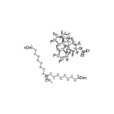 CCCCCCCCCCCCCCCCCCN(C)CCCCCCCCCCCCCCCCCC.C[CH2][Al]([CH2]C)[O]C1(F)C(F)=C(F)C(B(c2c(F)c(F)c(F)c(F)c2F)c2c(F)c(F)c(F)c(F)c2F)(c2ccccc2)C(F)=C1F